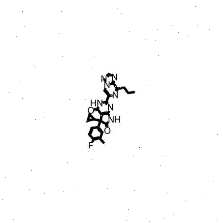 CCCc1nc(-c2nc3c(c(=O)[nH]2)C(c2ccc(F)c(C)c2)(C2CC2)C(=O)N3)cn2ncnc12